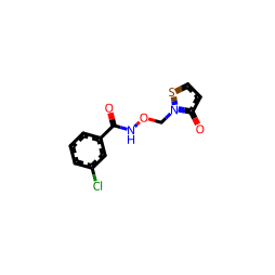 O=C(NOCn1sccc1=O)c1cccc(Cl)c1